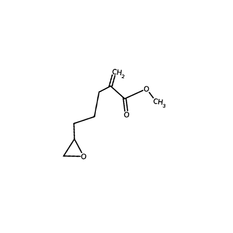 C=C(CCCC1CO1)C(=O)OC